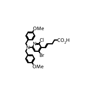 COc1ccc(CN(Cc2ccc(OC)cc2)c2cc(Br)c(/C=C/CCC(=O)O)c(Cl)n2)cc1